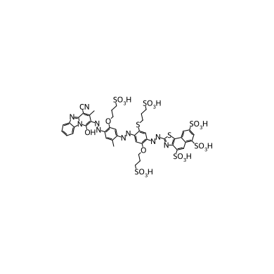 Cc1cc(N=Nc2c(C)c(C#N)c3nc4ccccc4n3c2O)c(OCCCS(=O)(=O)O)cc1N=Nc1cc(OCCCS(=O)(=O)O)c(N=Nc2nc3c(S(=O)(=O)O)cc4c(S(=O)(=O)O)cc(S(=O)(=O)O)cc4c3s2)cc1SCCCS(=O)(=O)O